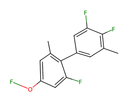 Cc1cc(-c2c(C)cc(OF)cc2F)cc(F)c1F